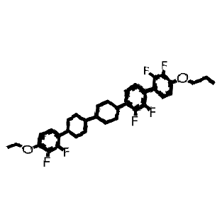 CCCOc1ccc(-c2ccc(C3CCC(C4CCC(c5ccc(OCC)c(F)c5F)CC4)CC3)c(F)c2F)c(F)c1F